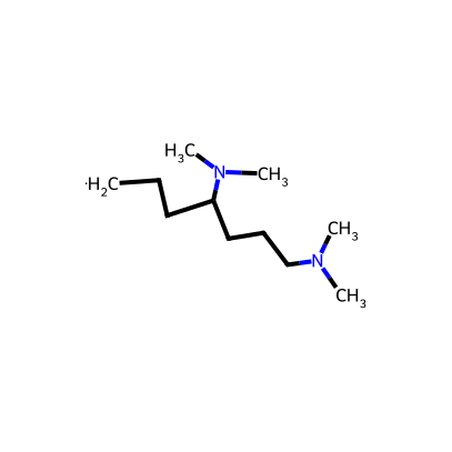 [CH2]CCC(CCCN(C)C)N(C)C